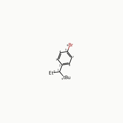 CCC(c1ccc(Br)cc1)C(C)(C)C